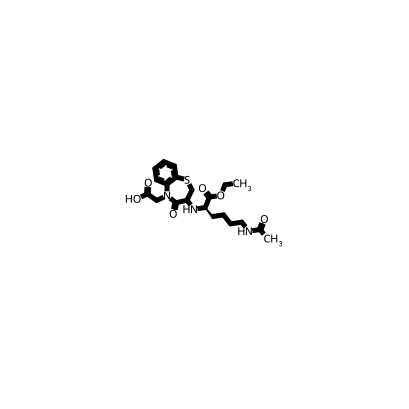 CCOC(=O)[C@@H](CCCCNC(C)=O)NC1CSc2ccccc2N(CC(=O)O)C1=O